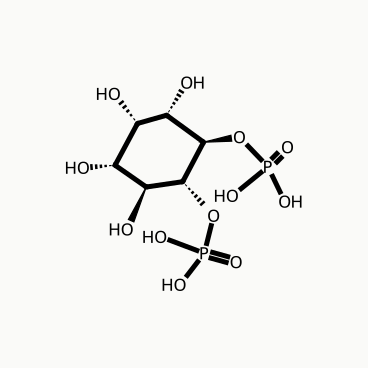 O=P(O)(O)O[C@@H]1[C@@H](O)[C@H](O)[C@H](O)[C@H](O)[C@H]1OP(=O)(O)O